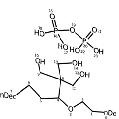 CCCCCCCCCCCCOC(CCCCCCCCCCCC)C(CO)(CO)CO.O=P(O)(O)OP(=O)(O)O